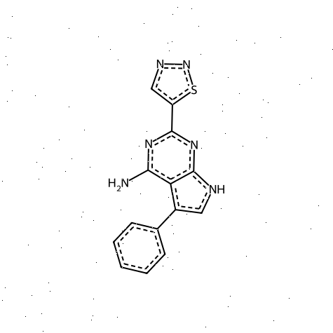 Nc1nc(-c2cnns2)nc2[nH]cc(-c3ccccc3)c12